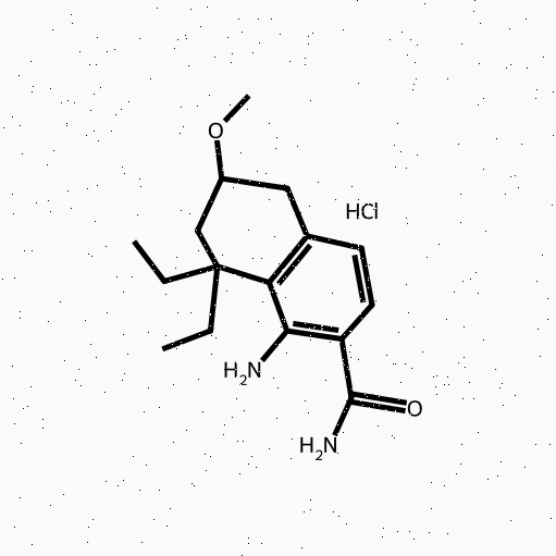 CCC1(CC)CC(OC)Cc2ccc(C(N)=O)c(N)c21.Cl